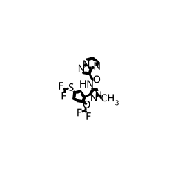 Cn1cc(NC(=O)c2cnn3cccnc23)c(-c2cc(SC(F)F)ccc2OC(F)F)n1